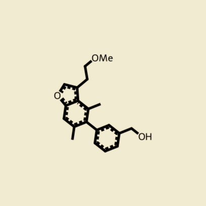 COCCc1coc2cc(C)c(-c3cccc(CO)c3)c(C)c12